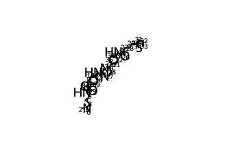 CN(C)CCCNS(=O)(=O)c1ccc(Nc2nccc(-c3ccc(NC(=O)CCCc4cccs4)cc3)n2)cc1